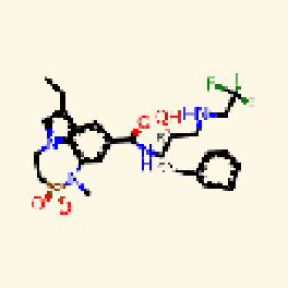 CCc1cn2c3c(cc(C(=O)N[C@@H](Cc4ccccc4)[C@H](O)CNCC(F)(F)F)cc13)N(C)S(=O)(=O)CC2